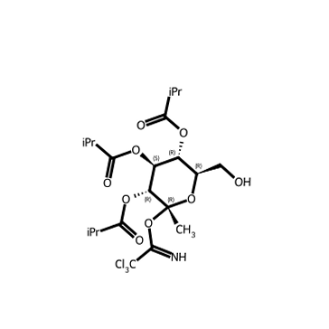 CC(C)C(=O)O[C@H]1[C@H](OC(=O)C(C)C)[C@@H](CO)O[C@](C)(OC(=N)C(Cl)(Cl)Cl)[C@@H]1OC(=O)C(C)C